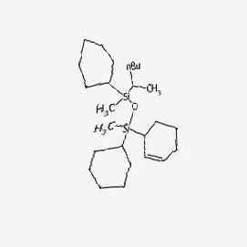 CCCCC(C)[Si](C)(O[Si](C)(C1C=CCCC1)C1CCCCC1)C1CCCCC1